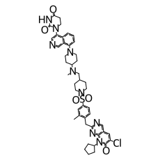 Cc1cc(S(=O)(=O)N2CCC(CN(C)C3CCN(c4cccc5c(N6CCC(=O)NC6=O)cncc45)CC3)CC2)ccc1Cc1ncc2cc(Cl)c(=O)n(C3CCCC3)c2n1